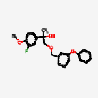 CCOc1ccc(C(O)(COCc2cccc(Oc3ccccc3)c2)C(F)(F)F)cc1F